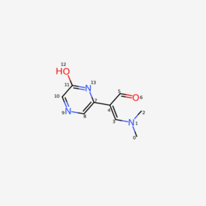 CN(C)C=C(C=O)c1cncc(O)n1